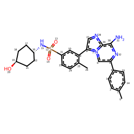 Cc1ccc(-c2cn3c(-c4cc(S(=O)(=O)N[C@H]5CC[C@H](O)CC5)ccc4C)cnc3c(N)n2)cc1